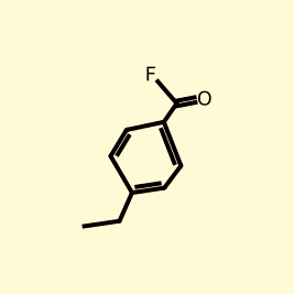 CCc1ccc(C(=O)F)cc1